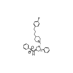 O=S(=O)(N[C@H]1C[C@H](CN2CCC(CCCc3ccc(F)cc3)CC2)[C@@H](c2ccccc2)C1)c1ccccc1